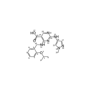 CC(C)Oc1ccccc1CNc1nc(Nc2cnn(C)c2)ncc1C(=O)O